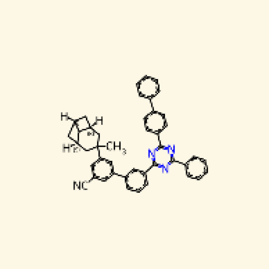 CC1(c2cc(C#N)cc(-c3cccc(-c4nc(-c5ccccc5)nc(-c5ccc(-c6ccccc6)cc5)n4)c3)c2)C[C@H]2C[C@H]3C[C@@H](C1)C32